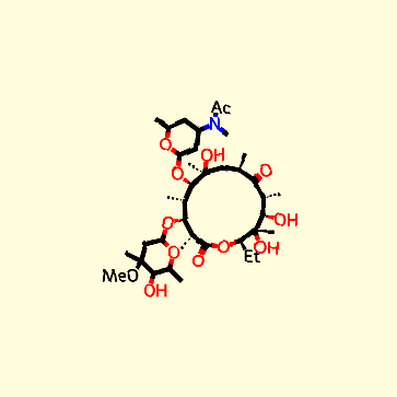 CC[C@H]1OC(=O)[C@H](C)[C@@H](OC2CC(C)(OC)C(O)C(C)O2)[C@H](C)[C@@H](OC2CC(N(C)C(C)=O)CC(C)O2)[C@@](C)(O)C[C@@H](C)C(=O)[C@H](C)[C@@H](O)[C@]1(C)O